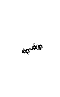 Cc1cc(Oc2c(F)cc(COc3cc4n(c(=O)n3)CC(C)(C)N4C)cc2C#N)ccn1